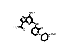 CNc1cc(Nc2cccn([C@@H]3CCC[C@@H](OC)C3)c2=O)nc2c(C(N)=O)cnn12